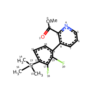 COC(=O)c1ncccc1-c1ccc([Si](C)(C)C)c(F)c1F